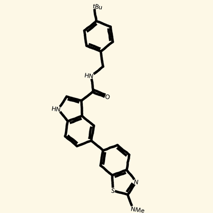 CNc1nc2ccc(-c3ccc4[nH]cc(C(=O)NCc5ccc(C(C)(C)C)cc5)c4c3)cc2s1